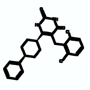 O=c1[nH]c(=O)c(Cc2c(Cl)cccc2Cl)c([C@H]2CC[C@H](c3ccccc3)CC2)[nH]1